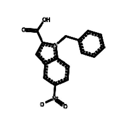 O=C(O)c1cc2cc([N+](=O)[O-])ccc2n1Cc1ccccc1